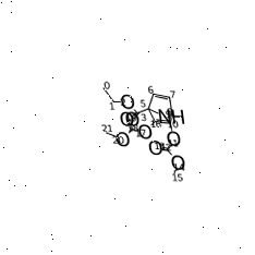 CCOC(=O)C12C=CC(N1)C(OC(=O)OC)=C2OC(=O)OC